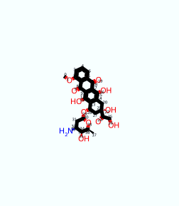 COc1cccc2c1C(=O)c1c(O)c3c(c(O)c1C2=O)C[C@@](O)(C(=O)CO)CC3OC1C[C@H](N)[C@H](O)[C@H](C)O1